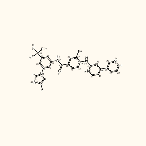 Cc1cn(-c2cc(NC(=O)c3ccc(Nc4nccc(-c5cccnc5)n4)c(I)c3)cc(C(F)(F)F)c2)cn1